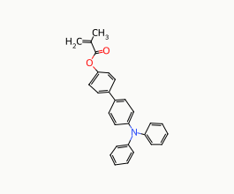 C=C(C)C(=O)Oc1ccc(-c2ccc(N(c3ccccc3)c3ccccc3)cc2)cc1